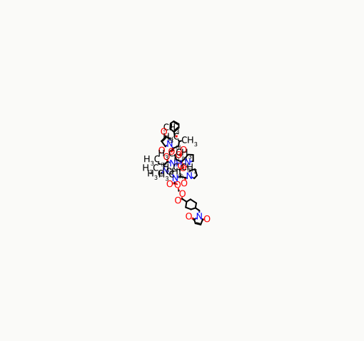 COC1=CC(=O)N(C(=O)[C@@H](OC(=O)[C@]2(C(=O)[C@@H](NC(=O)[C@H](C(C)C)N(C)C)C(C)C)CCCN2C(=O)[C@@H]2CCCN2C(=O)[C@H](C(C)C)N(C)C(=O)OCOC(=O)C2CCC(CN3C(=O)C=CC3=O)CC2)C(C)C)[C@H]1Cc1ccccc1